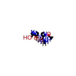 [2H]C([2H])([2H])NC(=O)c1c(Nc2ccn3ncc(CO)c3c2OC)ccnc1NC(=O)C1CC1